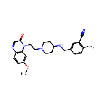 COc1ccc2ncc(=O)n(CCN3CCC(NCc4ccc(C)c(C#N)c4)CC3)c2c1